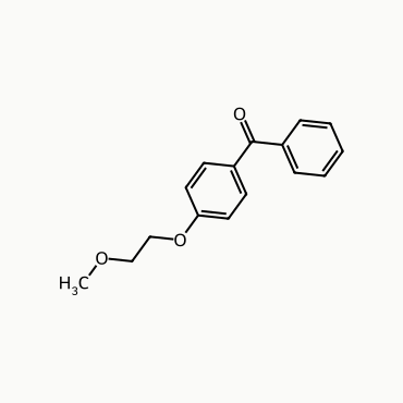 COCCOc1ccc(C(=O)c2ccccc2)cc1